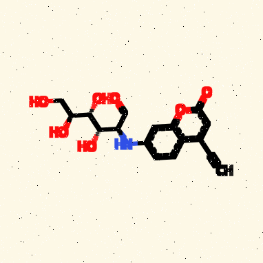 C#Cc1cc(=O)oc2cc(N[C@H](C=O)[C@H](O)[C@@H](O)[C@@H](O)CO)ccc12